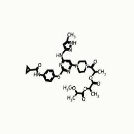 COC(C)C(=O)OC(C)C(=O)OC(C)C(=O)N1CCN(c2cc(Nc3cc(C)[nH]n3)nc(Sc3ccc(NC(=O)C4CC4)cc3)n2)CC1